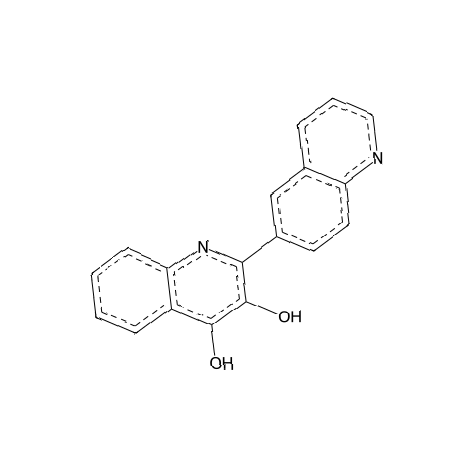 Oc1c(-c2ccc3ncccc3c2)nc2ccccc2c1O